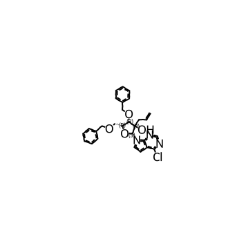 C=CC[C@@]1(O)[C@H](OCc2ccccc2)[C@@H](COCc2ccccc2)O[C@@H]1n1ccc2c(Cl)ncnc21